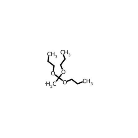 [CH2]C(OCCC)(OCCC)OCCC